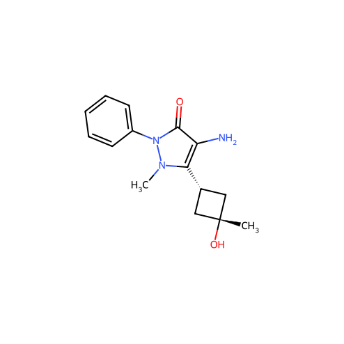 Cn1c([C@H]2C[C@@](C)(O)C2)c(N)c(=O)n1-c1ccccc1